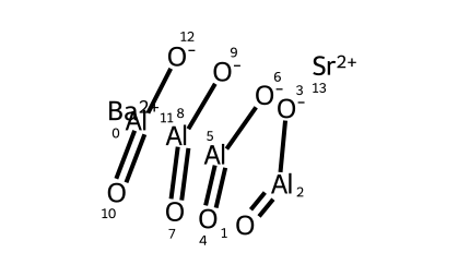 [Ba+2].[O]=[Al][O-].[O]=[Al][O-].[O]=[Al][O-].[O]=[Al][O-].[Sr+2]